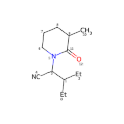 CCC(CC)C(C#N)N1CCCC(C)C1=O